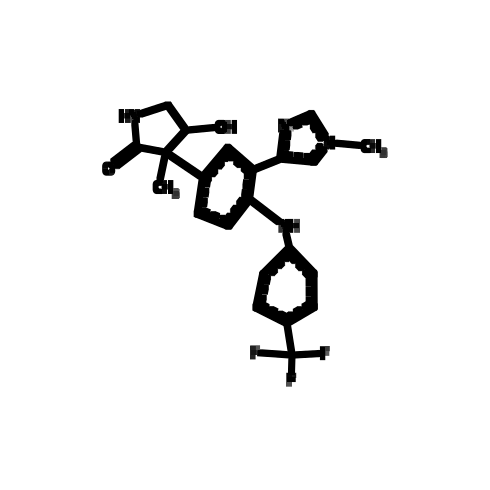 Cn1cnc(-c2cc(C3(C)C(=O)NCC3O)ccc2Nc2ccc(C(F)(F)F)cc2)c1